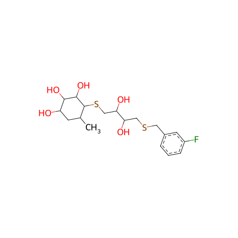 CC1CC(O)C(O)C(O)C1SCC(O)C(O)CSCc1cccc(F)c1